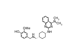 COc1cc(CNC[C@H]2CC[C@@H](Nc3nc(N(C)C)c4ccccc4n3)CC2)ccc1O